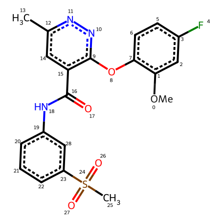 COc1cc(F)ccc1Oc1nnc(C)cc1C(=O)Nc1cccc(S(C)(=O)=O)c1